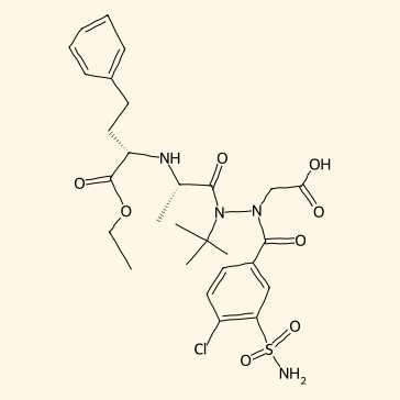 CCOC(=O)[C@H](CCc1ccccc1)N[C@@H](C)C(=O)N(N(CC(=O)O)C(=O)c1ccc(Cl)c(S(N)(=O)=O)c1)C(C)(C)C